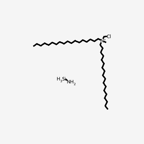 CCCCCCCCCCCCCCCCCC[N+](C)(CCl)CCCCCCCCCCCCCCCCCC.N[SiH3]